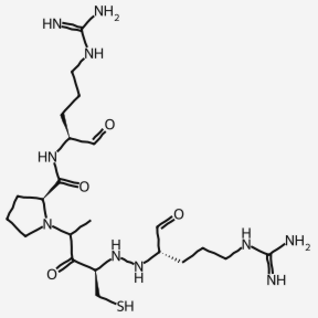 CC(C(=O)[C@H](CS)NN[C@H](C=O)CCCNC(=N)N)N1CCC[C@H]1C(=O)N[C@H](C=O)CCCNC(=N)N